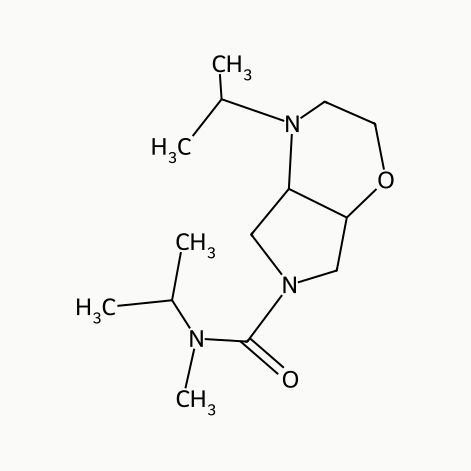 CC(C)N(C)C(=O)N1CC2OCCN(C(C)C)C2C1